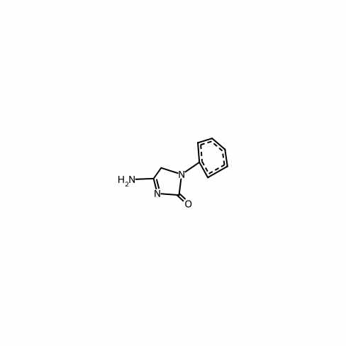 NC1=NC(=O)N(c2ccccc2)C1